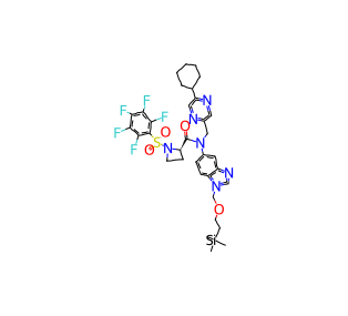 C[Si](C)(C)CCOCn1cnc2cc(N(Cc3cnc(C4CCCCC4)cn3)C(=O)[C@H]3CCN3S(=O)(=O)c3c(F)c(F)c(F)c(F)c3F)ccc21